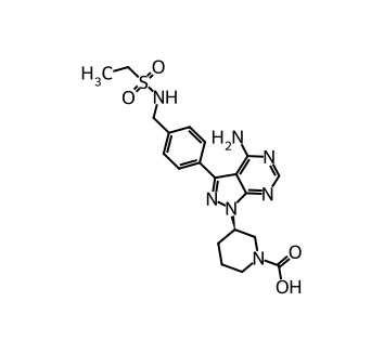 CCS(=O)(=O)NCc1ccc(-c2nn([C@@H]3CCCN(C(=O)O)C3)c3ncnc(N)c23)cc1